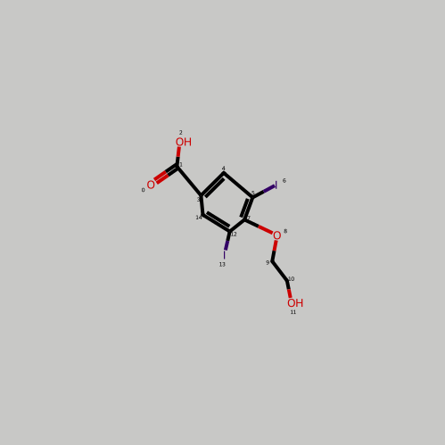 O=C(O)c1cc(I)c(OCCO)c(I)c1